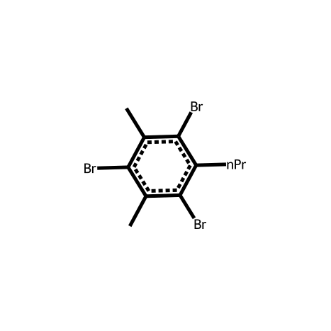 CCCc1c(Br)c(C)c(Br)c(C)c1Br